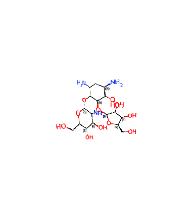 NC1C[C@@H](N)C(O)[C@@H](O[C@@H]2O[C@H](CO)[C@H](O)C2O)C1O[C@H]1OC(CO)[C@@H](O)[C@H](O)C1N